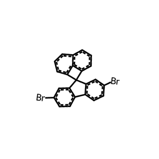 Brc1ccc2c(c1)C1(c3cc(Br)ccc3-2)c2cccc3cccc1c23